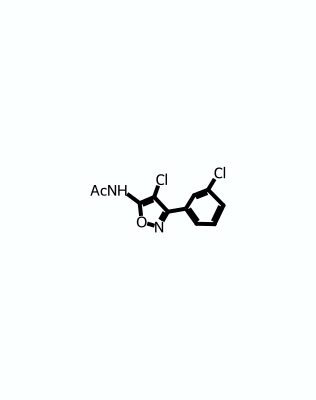 CC(=O)Nc1onc(-c2cccc(Cl)c2)c1Cl